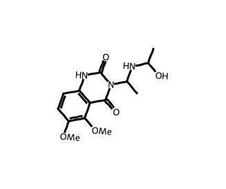 COc1ccc2[nH]c(=O)n(C(C)NC(C)O)c(=O)c2c1OC